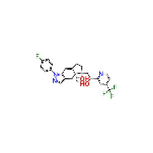 C[C@]12Cc3cnn(-c4ccc(F)cc4)c3C=C1CC[C@@]2(O)CC(O)c1cc(C(F)(F)F)ccn1